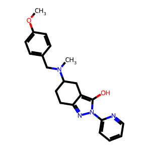 COc1ccc(CN(C)C2CCc3nn(-c4ccccn4)c(O)c3C2)cc1